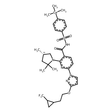 C[C@@H]1CN(c2nc(-n3ccc(OCCC4CC4C(F)(F)F)n3)ccc2C(=O)NS(=O)(=O)c2cc[c]([Ge]([CH3])([CH3])[CH3])cc2)C(C)(C)C1